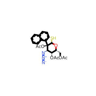 CC(=O)OC[C@H]1O[C@H](S)[C@@](OC(C)=O)(c2cccc3ccccc23)[C@@H](N=[N+]=[N-])[C@H]1OC(C)=O